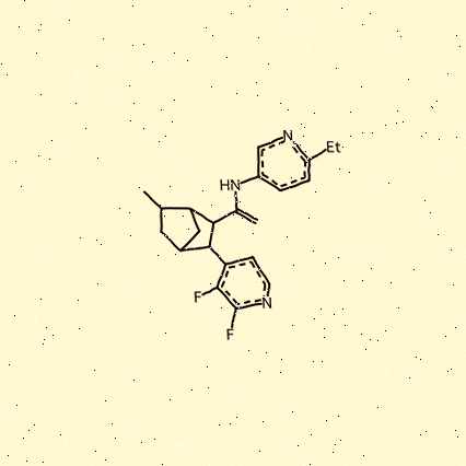 C=C(Nc1ccc(CC)nc1)C1C2CC(CC2C)C1c1ccnc(F)c1F